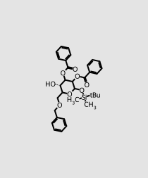 CC(C)(C)[Si](C)(C)OC1OC(COCc2ccccc2)[C@H](O)C(OC(=O)c2ccccc2)C1OC(=O)c1ccccc1